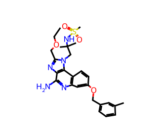 CCOCc1nc2c(N)nc3cc(OCc4cccc(C)c4)ccc3c2n1CC(C)(C)NS(C)(=O)=O